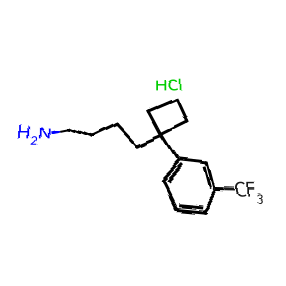 Cl.NCCCCC1(c2cccc(C(F)(F)F)c2)CCC1